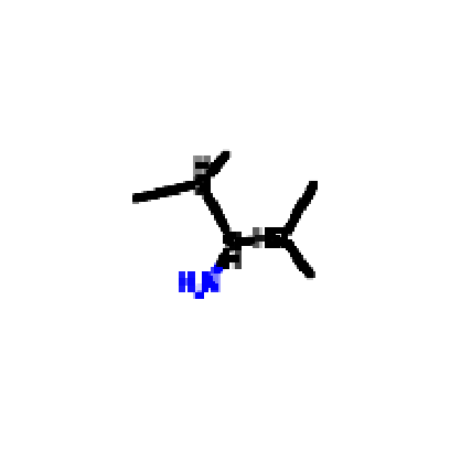 C[SiH](C)[SiH](N)[SiH](C)C